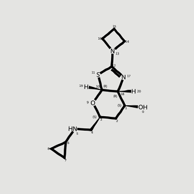 O[C@H]1C[C@@H](CNC2CC2)O[C@@H]2SC(N3CCC3)=N[C@@H]21